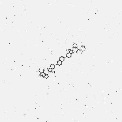 CC(C)[C@H](N)C(=O)N1CCC[C@H]1c1nc2ccc(-c3ccc4cc(-c5ccc6nc([C@@H]7CCCN7C(=O)[C@@H](N)C(C)C)[nH]c6c5)ccc4c3)cc2[nH]1